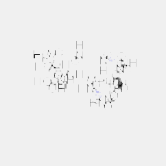 CCC1C(O)C(O)C2C(OCCCCC(=O)NCCCCCCNC(=O)/C=C/c3cn(C4CC(OP(=O)(O)OC[C@@H](C)O[C@@H](C)n5cc(/C=C/C(=O)NCCCCCCNC(=O)CCCCOC6OC7(O)C6C(O)[C@@H](O)C7CC)c(=O)[nH]c5=O)[C@H](COC)O4)c(=O)[nH]c3=O)OC12O